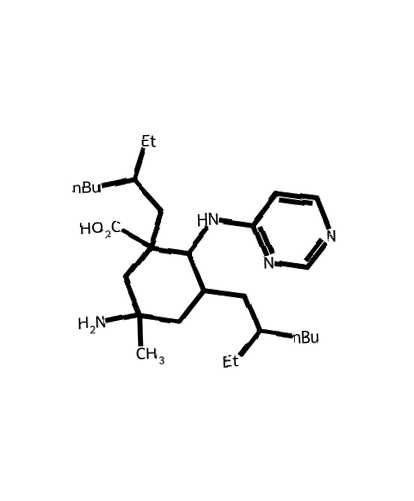 CCCCC(CC)CC1CC(C)(N)CC(CC(CC)CCCC)(C(=O)O)C1Nc1ccncn1